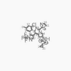 Cc1ccc([C@@H]2N=C(c3nccs3)N3C[C@@H](NS(=O)(=O)C4CC4)CC3=C2c2cnn(C(F)(F)F)c2)c(Cl)c1